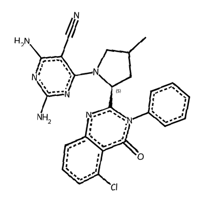 CC1C[C@@H](c2nc3cccc(Cl)c3c(=O)n2-c2ccccc2)N(c2nc(N)nc(N)c2C#N)C1